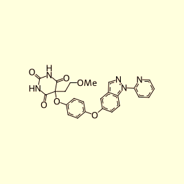 COCCC1(Oc2ccc(Oc3ccc4c(cnn4-c4ccccn4)c3)cc2)C(=O)NC(=O)NC1=O